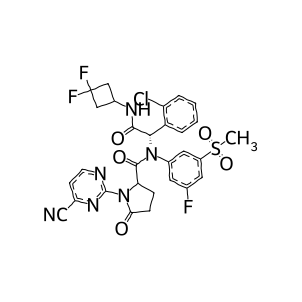 CS(=O)(=O)c1cc(F)cc(N(C(=O)C2CCC(=O)N2c2nccc(C#N)n2)[C@H](C(=O)NC2CC(F)(F)C2)c2ccccc2Cl)c1